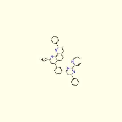 Cc1cc(-c2cccc(-c3cc(-c4ccccc4)nc(C4=NC=CCC=C4)n3)c2)c2ccc3ccc(-c4ccccc4)nc3c2n1